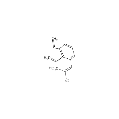 C=Cc1cccc(C=C(CC)C(=O)O)c1C=C